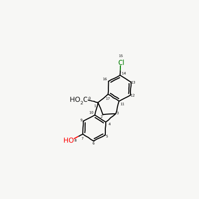 O=C(O)C12CC(c3ccc(O)cc31)c1ccc(Cl)cc12